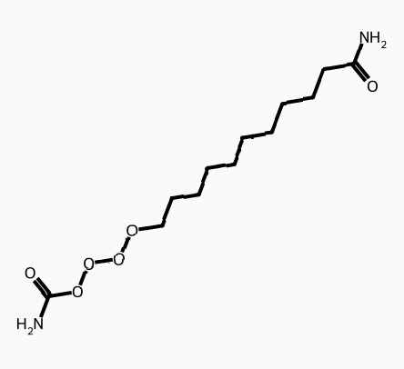 NC(=O)CCCCCCCCCCOOOOC(N)=O